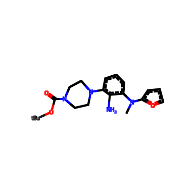 CN(c1ccco1)c1cccc(N2CCN(C(=O)OC(C)(C)C)CC2)c1N